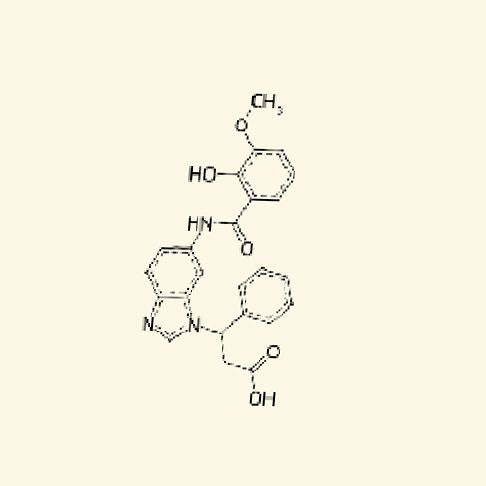 COc1cccc(C(=O)Nc2ccc3ncn(C(CC(=O)O)c4ccccc4)c3c2)c1O